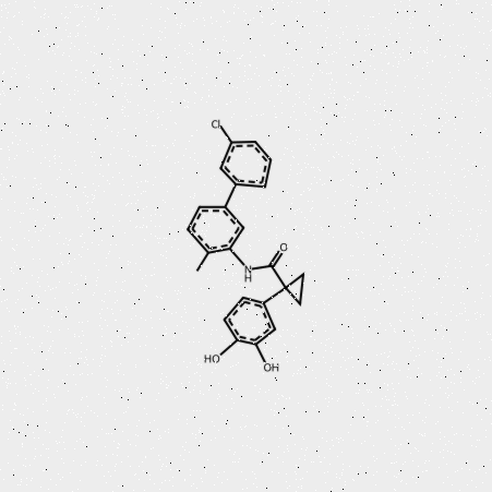 Cc1ccc(-c2cccc(Cl)c2)cc1NC(=O)C1(c2ccc(O)c(O)c2)CC1